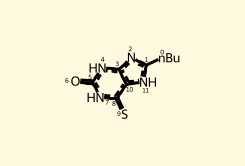 CCCCc1nc2[nH]c(=O)[nH]c(=S)c2[nH]1